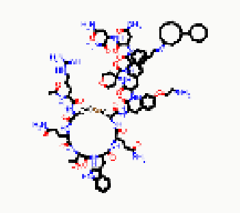 CC(=O)NC(CCCNC(=N)N)C(=O)NC1CCSCC(C(=O)NC(Cc2ccc(OCCN)cc2)C(=O)NC(Cc2ccc3ccccc3c2)C(=O)NC2(C(=O)NC(CCCCNC3CCCCCC(C4CCCCCC4)CC3)C(=O)NC(CC(N)=O)C(=O)NC(CC(N)=O)C(N)=O)CCOCC2)NC(=O)C(CCC(N)=O)NC(=O)C(Cc2c[nH]c3ccccc23)NC(=O)C(C(C)O)NC(=O)C(CCC(N)=O)NC1=O